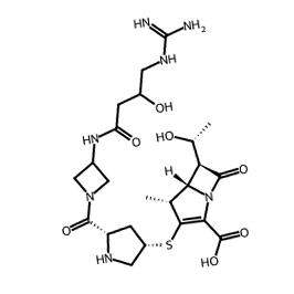 C[C@@H](O)[C@H]1C(=O)N2C(C(=O)O)=C(S[C@@H]3CN[C@H](C(=O)N4CC(NC(=O)CC(O)CNC(=N)N)C4)C3)[C@H](C)[C@H]12